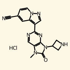 Cl.Cn1c(=O)n(C2CNC2)c2nc(-c3cnn4ccc(C#N)cc34)ncc21